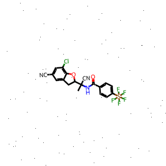 CC(C#N)(NC(=O)c1ccc(S(F)(F)(F)(F)F)cc1)C1Cc2cc(C#N)cc(Cl)c2O1